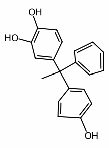 CC(c1ccccc1)(c1ccc(O)cc1)c1ccc(O)c(O)c1